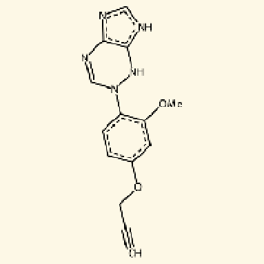 C#CCOc1ccc(N2C=Nc3nc[nH]c3N2)c(OC)c1